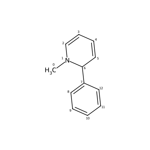 CN1C=CC=CC1c1ccccc1